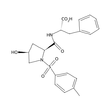 Cc1ccc(S(=O)(=O)N2C[C@@H](O)C[C@H]2C(=O)N[C@@H](Cc2ccccc2)C(=O)O)cc1